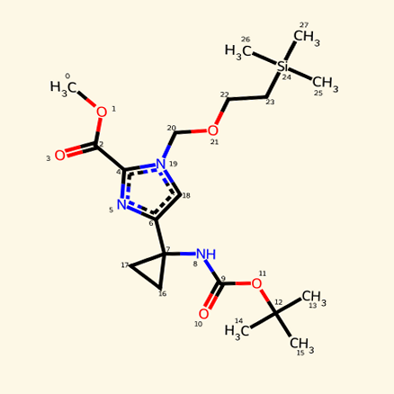 COC(=O)c1nc(C2(NC(=O)OC(C)(C)C)CC2)cn1COCC[Si](C)(C)C